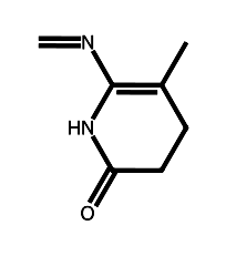 C=NC1=C(C)CCC(=O)N1